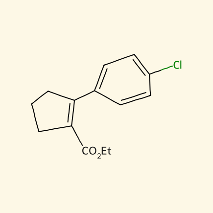 CCOC(=O)C1=C(c2ccc(Cl)cc2)CCC1